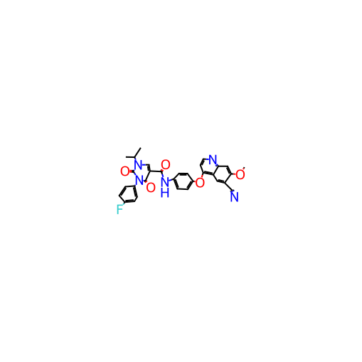 COc1cc2nccc(Oc3ccc(NC(=O)c4cn(C(C)C)c(=O)n(-c5ccc(F)cc5)c4=O)cc3)c2cc1C#N